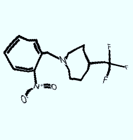 O=[N+]([O-])c1ccccc1N1CCC(C(F)(F)F)CC1